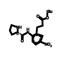 CC(C)(C)OC(=O)CCc1cc([N+](=O)[O-])ccc1NC(=O)[C@@H]1CCCN1